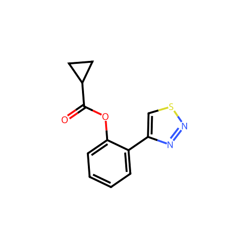 O=C(Oc1ccccc1-c1csnn1)C1CC1